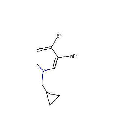 C=C(CC)/C(=C\N(C)CC1CC1)CCC